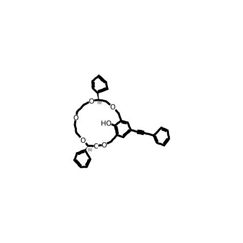 Oc1c2cc(C#Cc3ccccc3)cc1COC[C@H](c1ccccc1)OCCOCCO[C@@H](c1ccccc1)COC2